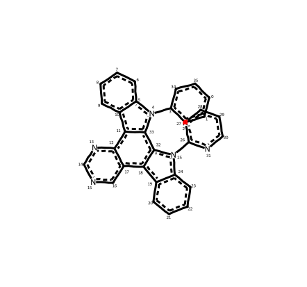 c1ccc(-n2c3ccccc3c3c4ncncc4c4c5ccccc5n(-c5ncccn5)c4c32)cc1